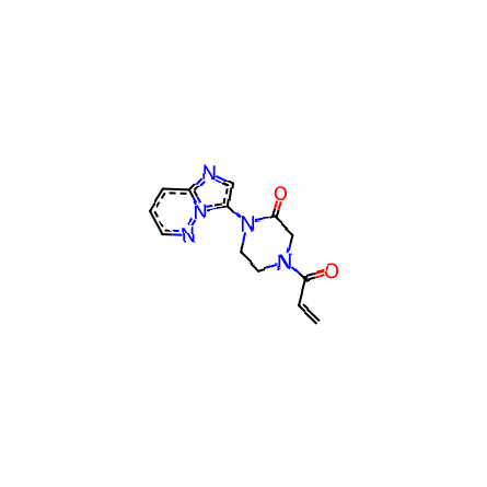 C=CC(=O)N1CCN(c2cnc3cccnn23)C(=O)C1